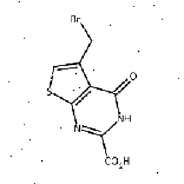 O=C(O)c1nc2scc(CBr)c2c(=O)[nH]1